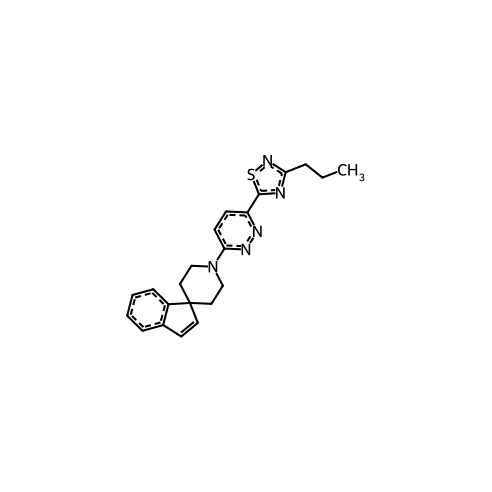 CCCc1nsc(-c2ccc(N3CCC4(C=Cc5ccccc54)CC3)nn2)n1